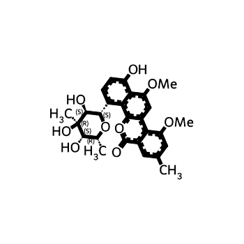 COc1cc2c(oc(=O)c3cc(C)cc(OC)c32)c2c([C@@H]3O[C@H](C)[C@H](O)[C@@](C)(O)[C@H]3O)ccc(O)c12